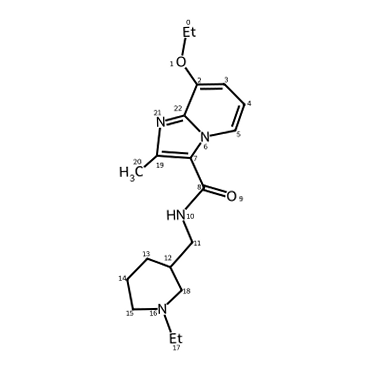 CCOc1cccn2c(C(=O)NCC3CCCN(CC)C3)c(C)nc12